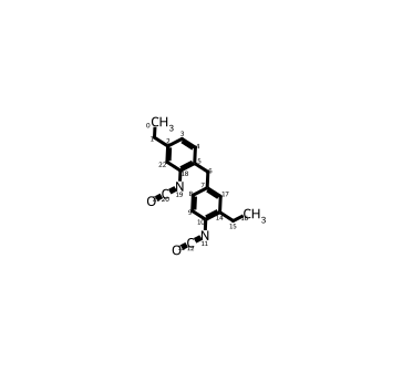 CCc1ccc(Cc2ccc(N=C=O)c(CC)c2)c(N=C=O)c1